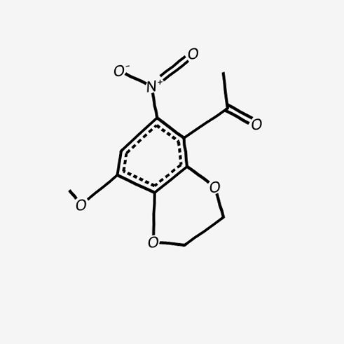 COc1cc([N+](=O)[O-])c(C(C)=O)c2c1OCCO2